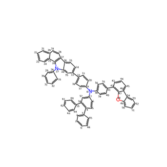 c1ccc(-c2ccc(N(c3ccc(-c4ccc5c6ccc7ccccc7c6n(-c6ccccc6)c5c4)cc3)c3ccc(-c4cccc5c4oc4ccccc45)cc3)cc2-c2ccccc2)cc1